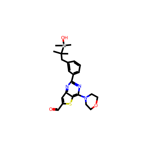 CC(C)(Cc1cccc(-c2nc(N3CCOCC3)c3sc(C=O)cc3n2)c1)[Si](C)(C)O